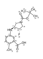 Cc1ccc(N[C@H]2CN(C(=O)OC(C)(C)C)C[C@@H]2F)cc1C(=O)O